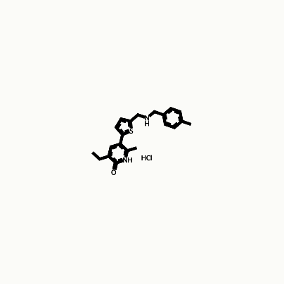 CCc1cc(-c2ccc(CNCc3ccc(C)cc3)s2)c(C)[nH]c1=O.Cl